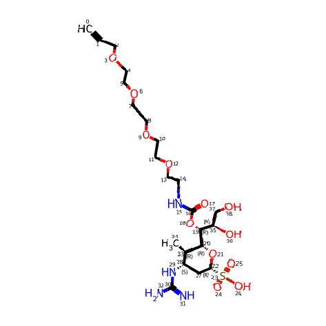 C#CCOCCOCCOCCOCCNC(=O)O[C@@H]([C@@H]1O[C@H](S(=O)(=O)O)C[C@H](NC(=N)N)[C@H]1C)[C@H](O)CO